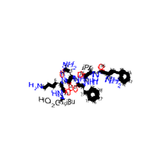 CC[C@H](C)[C@H](NC(=O)[C@H](CCCCN)NC(=O)[C@H](CC(N)=O)NC(=O)[C@H](Cc1ccccc1)NC(=O)[C@@H](NC(=O)[C@@H](N)Cc1ccccc1)C(C)C)C(=O)O